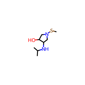 CSN1CC(O)C(NC(C)C)C1